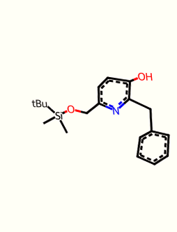 CC(C)(C)[Si](C)(C)OCc1ccc(O)c(Cc2ccccc2)n1